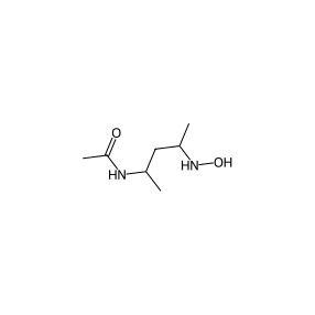 CC(=O)NC(C)CC(C)NO